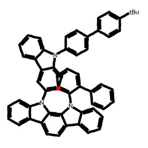 CC(C)(C)c1ccc(-c2ccc(-n3c4ccccc4c4cc(-n5c6ccccc6c6ccc7c8ccccc8n(-c8ccccc8-c8ccccc8)c7c65)ccc43)cc2)cc1